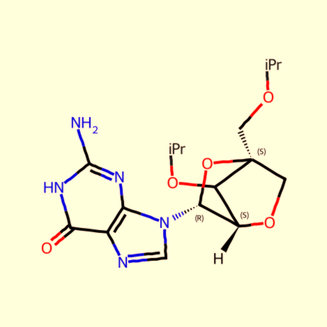 CC(C)OC[C@]12CO[C@@H](C1OC(C)C)[C@H](n1cnc3c(=O)[nH]c(N)nc31)O2